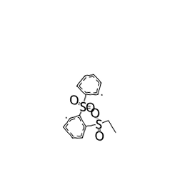 CCS(=O)(=O)c1ccc[c]c1S(=O)(=O)c1[c]cccc1